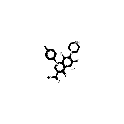 Cc1ccc(-n2cc(C(=O)O)c(=O)c3cc(F)c(N4CCNCC4)c(F)c32)cc1.Cl